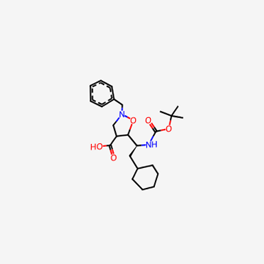 CC(C)(C)OC(=O)N[C@@H](CC1CCCCC1)C1ON(Cc2ccccc2)CC1C(=O)O